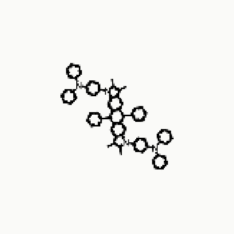 Cc1c(C)n(-c2ccc(N(c3ccccc3)c3ccccc3)cc2)c2cc3c(-c4ccccc4)c4cc5c(C)c(C)n(-c6ccc(N(c7ccccc7)c7ccccc7)cc6)c5cc4c(-c4ccccc4)c3cc12